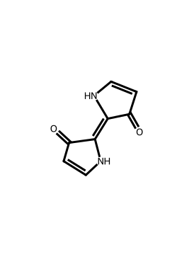 O=C1C=CN/C1=C1/NC=CC1=O